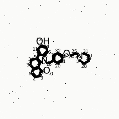 COc1cccc2c1-c1c(c3cc(O)ccc3n1Cc1ccc(OCCN3CCCCC3)cc1)CC2